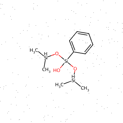 C[SiH](C)O[Si](O)(O[SiH](C)C)c1ccccc1